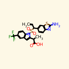 C=CC(c1ccc2nc(N)sc2c1)S(=O)(=O)n1c(C(C)C(=O)O)cc2cc(C(F)(F)F)ccc21